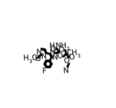 COc1nccc(-c2[nH]c(C3(C(N)=O)OCC(C)(C(=O)OCC#N)CO3)nc2-c2ccc(F)cc2)n1